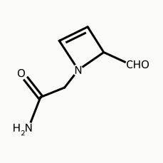 NC(=O)CN1C=CC1C=O